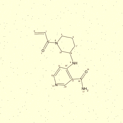 C=CC(=O)N1CCCC(Nc2ccncc2C(N)=O)C1